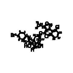 O[C@@]1(c2nc3ccc(Br)cc3s2)[C@@H]2C[C@H]3C[C@H]1C[C@@](OCc1c(-c4c(Cl)cccc4Cl)noc1C1CC1)(C3)C2